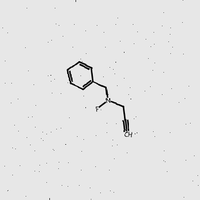 C#CCN(F)Cc1ccccc1